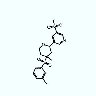 Cc1cccc(S(=O)(=O)C2(C)CCOC(c3cncc(S(C)(=O)=O)c3)C2)c1